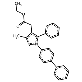 CCOC(=O)Cc1c(C)nn(-c2ccc(-c3ccccc3)cc2)c1-c1ccccc1